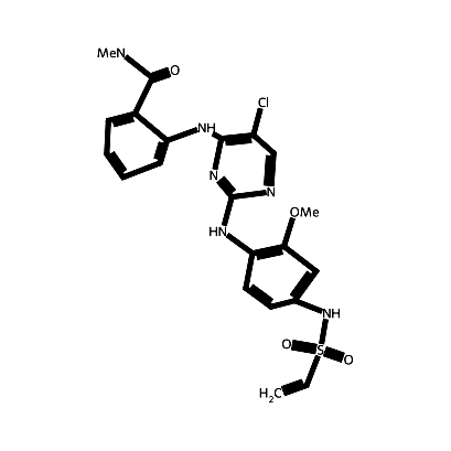 C=CS(=O)(=O)Nc1ccc(Nc2ncc(Cl)c(Nc3ccccc3C(=O)NC)n2)c(OC)c1